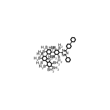 Bc1c(B)c(-c2c(B)c(B)c(-c3nc(-c4ccccc4)nc(-c4ccc(-c5ccccc5)cc4)n3)c(B)c2B)c(B)c(-c2c(B)c(B)c(B)c3c2sc2c(B)c(B)c(B)c(B)c23)c1B